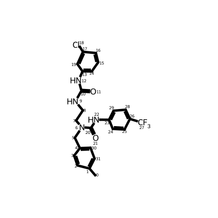 Cc1ccc(CN(CCNC(=O)Nc2cccc(Cl)c2)C(=O)Nc2ccc(C(F)(F)F)cc2)cc1